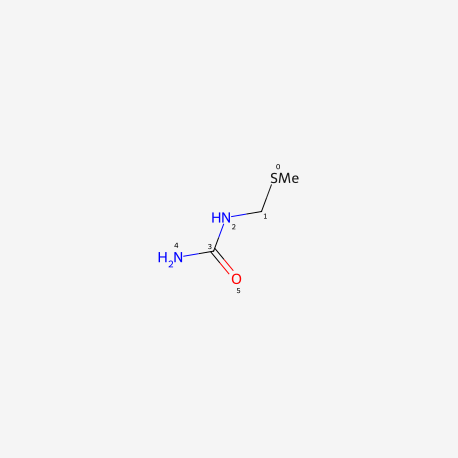 CSCNC(N)=O